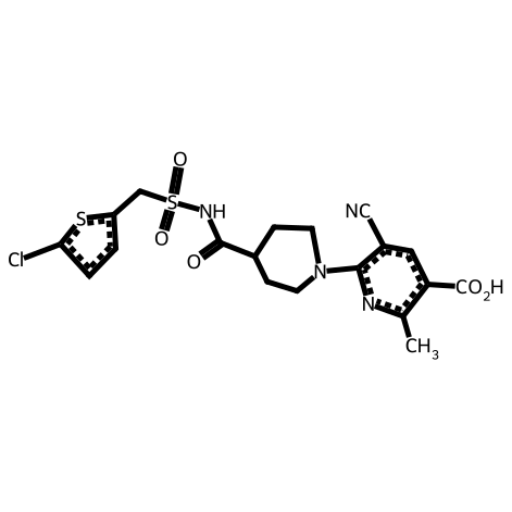 Cc1nc(N2CCC(C(=O)NS(=O)(=O)Cc3ccc(Cl)s3)CC2)c(C#N)cc1C(=O)O